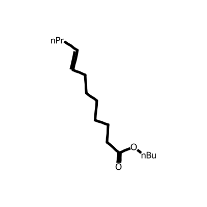 CCCC=CCCCCCCC(=O)OCCCC